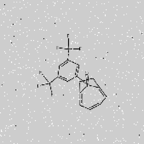 O=P1(c2cc(C(F)(F)F)cc(C(F)(F)F)c2)C2=CC=CC=C1CC2